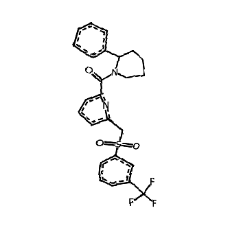 O=C(c1cccc(CS(=O)(=O)c2cccc(C(F)(F)F)c2)n1)N1CCCCC1c1ccccc1